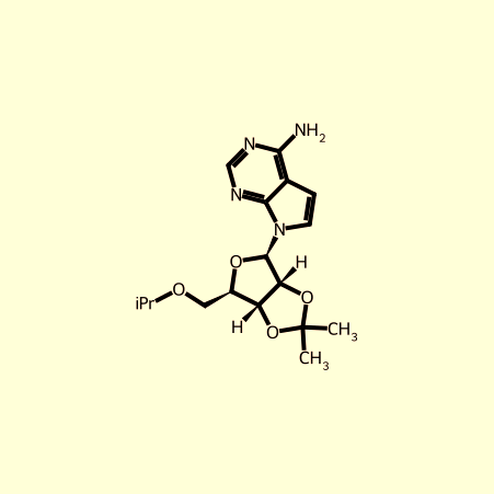 CC(C)OC[C@H]1O[C@@H](n2ccc3c(N)ncnc32)[C@@H]2OC(C)(C)O[C@@H]21